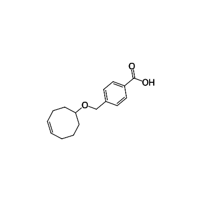 O=C(O)c1ccc(COC2CC/C=C\CCC2)cc1